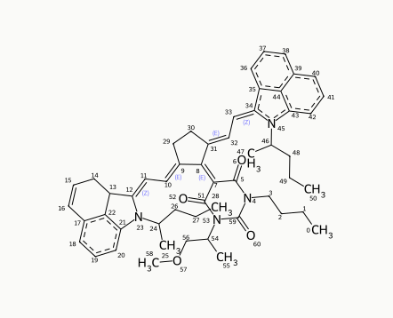 CCCCN1C(=O)/C(=C2C(=C/C=C3/C4CC=Cc5cccc(c54)N3C(C)CCC)/CCC/2=C\C=c2\c3cccc4cccc(c43)n2C(C)CCC)C(=O)N(C(C)COC)C1=O